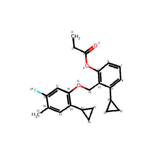 CCC(=O)Oc1cccc(C2CC2)c1COc1cc(F)c(C)cc1C1CC1